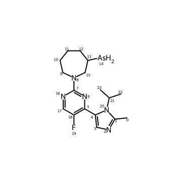 Cc1ncc(-c2nc(N3CCCCC([AsH2])C3)ncc2F)n1C(C)C